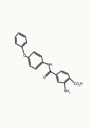 Nc1cc(C(=O)Nc2ccc(Oc3ccccc3)cc2)ccc1C(=O)O